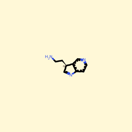 NCC[C@@H]1C=Nc2ccncc21